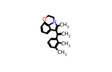 C=C(c1cccc(C)c1C)c1c(C)n2c3c(cccc13)OCC2